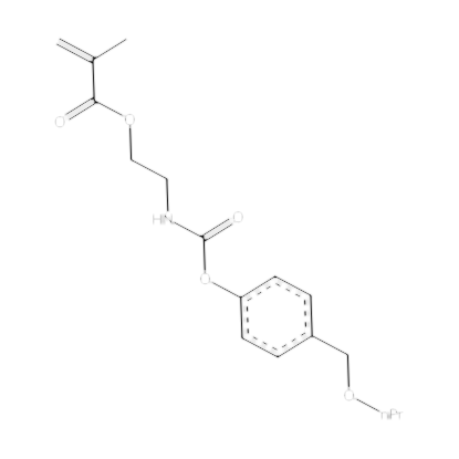 C=C(C)C(=O)OCCNC(=O)Oc1ccc(COCCC)cc1